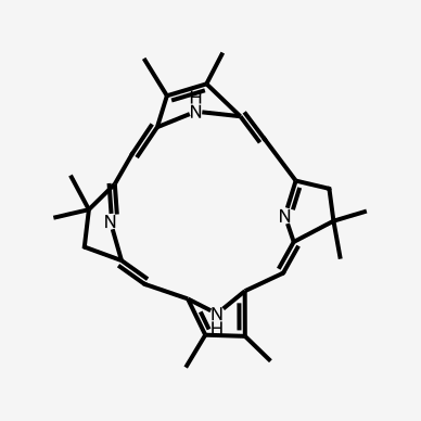 Cc1c(C)c2cc3nc(cc4[nH]c(cc5nc(cc1[nH]2)CC5(C)C)c(C)c4C)CC3(C)C